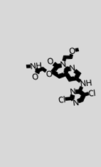 CNC(=O)COc1cc2cc(Nc3nc(Cl)ncc3Cl)cnc2n(CCOC)c1=O